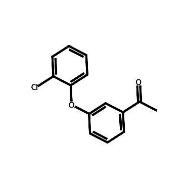 CC(=O)c1cccc(Oc2ccccc2Cl)c1